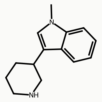 Cn1cc(C2CCCNC2)c2ccccc21